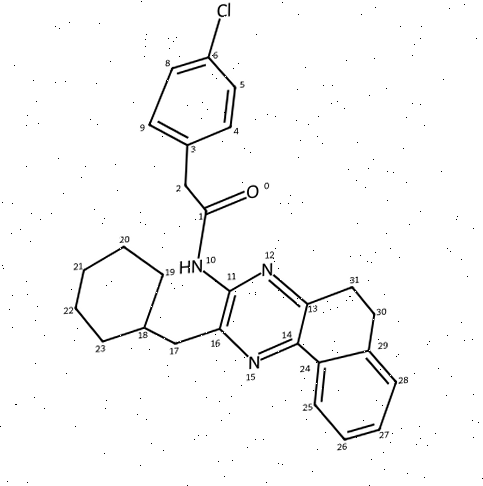 O=C(Cc1ccc(Cl)cc1)Nc1nc2c(nc1CC1CCCCC1)-c1ccccc1CC2